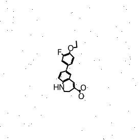 CCOc1ccc(-c2ccc3c(c2)C=C(C(=O)OC)CCN3)cc1F